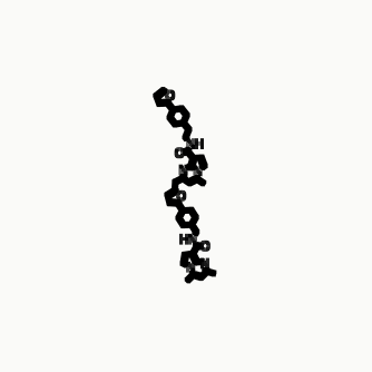 Cc1cc(C)n2ccc(C(=O)NCC3CCC(c4ccc(Cc5cc(C)n6ccc(C(=O)NCCC7CCC(c8ccco8)CC7)c6n5)o4)CC3)c2n1